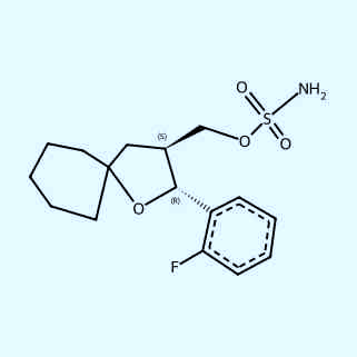 NS(=O)(=O)OC[C@@H]1CC2(CCCCC2)O[C@H]1c1ccccc1F